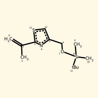 C=C(C)c1nc(CO[Si](C)(C)C(C)(C)C)cs1